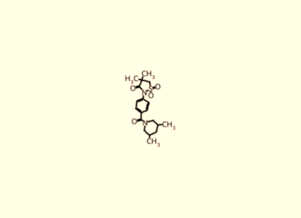 CC1CC(C)CN(C(=O)c2ccc(N3C(=O)C(C)(C)CS3(=O)=O)cc2)C1